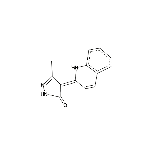 CC1=NNC(=O)C1=C1C=Cc2ccccc2N1